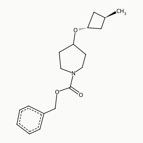 C[C@H]1C[C@H](OC2CCN(C(=O)OCc3ccccc3)CC2)C1